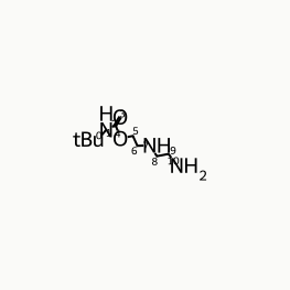 CC(C)(C)NC(=O)OCCNCCN